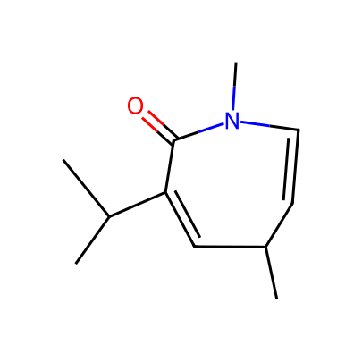 CC1C=CN(C)C(=O)C(C(C)C)=C1